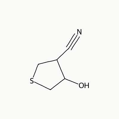 N#CC1CSCC1O